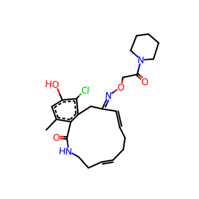 Cc1cc(O)c(Cl)c2c1C(=O)NCC/C=C/CC/C=C/C(=N\OCC(=O)N1CCCCC1)C2